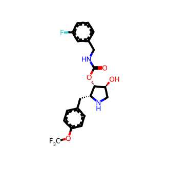 O=C(NCc1cccc(F)c1)O[C@@H]1[C@@H](O)CN[C@@H]1Cc1ccc(OC(F)(F)F)cc1